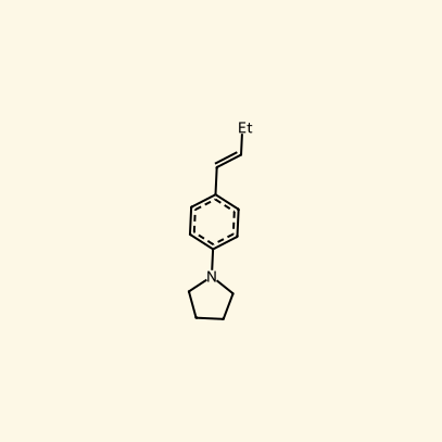 CCC=Cc1ccc(N2CCCC2)cc1